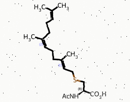 CC(=O)N[C@@H](CSC/C=C(\C)CC/C=C(/C)CCC=C(C)C)C(=O)O